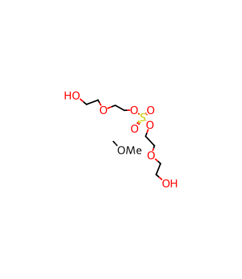 COC.O=S(=O)(OCCOCCO)OCCOCCO